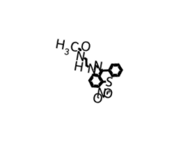 CC(=O)NCCn1nc2c3c(c([N+](=O)[O-])ccc31)Sc1ccccc1-2